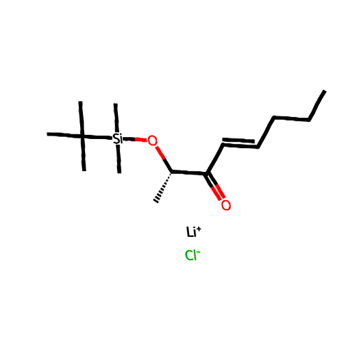 CCC/C=C/C(=O)[C@H](C)O[Si](C)(C)C(C)(C)C.[Cl-].[Li+]